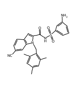 Cc1cc(C)c(Cn2c(C(=O)NS(=O)(=O)c3cccc(N)c3)cc3ccc(C#N)cc32)c(C)c1